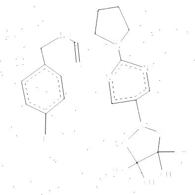 C[C@H](NC(=O)[C@@H]1CCCN1c1ncc(B2OC(C)(C)C(C)(C)O2)cn1)c1ccc(F)cc1